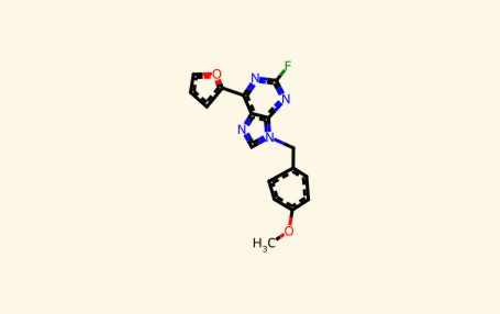 COc1ccc(Cn2cnc3c(-c4ccco4)nc(F)nc32)cc1